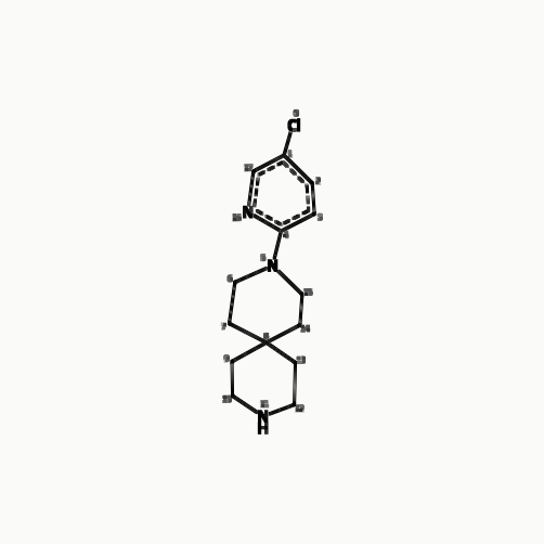 Clc1ccc(N2CCC3(CCNCC3)CC2)nc1